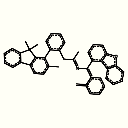 C=c1cccc/c1=C(/N=C(\C)Cc1ccccc1-c1c(C)ccc2c1C(C)(C)c1ccccc1-2)c1cccc2oc3ccccc3c12